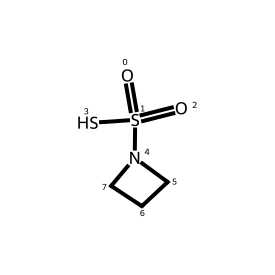 O=S(=O)(S)N1CCC1